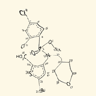 CCOP(=O)(c1ccc(Cl)cc1Cl)N(CC1CCOCC1)c1cc(C(C)(C)C)sc1C(=O)O